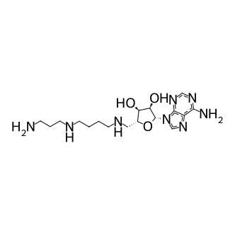 NCCCNCCCCNC[C@H]1O[C@@H](n2cnc3c(N)ncnc32)[C@H](O)[C@@H]1O